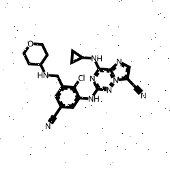 N#Cc1cc(CNC2CCOCC2)c(Cl)c(Nc2nc(NC3CC3)c3ncc(C#N)n3n2)c1